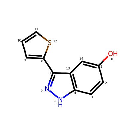 Oc1ccc2[nH]nc(-c3cccs3)c2c1